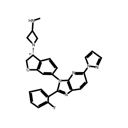 CNC1CN([C@H]2COc3cc(-n4c(-c5ccccc5F)nc5ccc(-n6cccn6)nc54)ccc32)C1